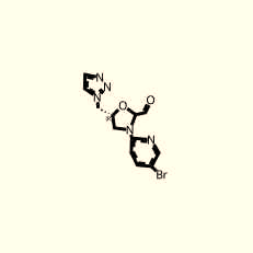 O=CC1O[C@@H](Cn2ccnn2)CN1c1ccc(Br)cn1